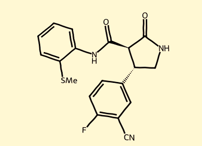 CSc1ccccc1NC(=O)[C@H]1C(=O)NC[C@@H]1c1ccc(F)c(C#N)c1